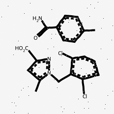 Cc1cc(C(=O)O)nn1Cc1c(Cl)cccc1Cl.Cc1ccc(C(N)=O)cc1